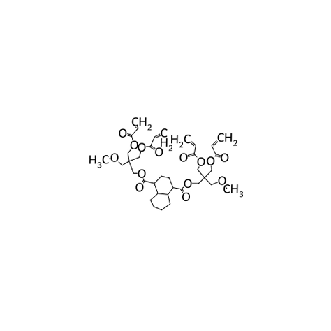 C=CC(=O)OCC(COC)(COC(=O)C=C)COC(=O)C1CCC(C(=O)OCC(COC)(COC(=O)C=C)COC(=O)C=C)C2CCCCC12